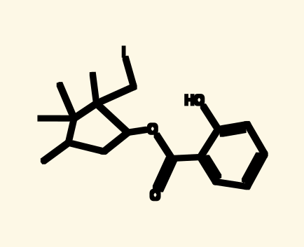 CC1CC(OC(=O)c2ccccc2O)C(C)(CI)C1(C)C